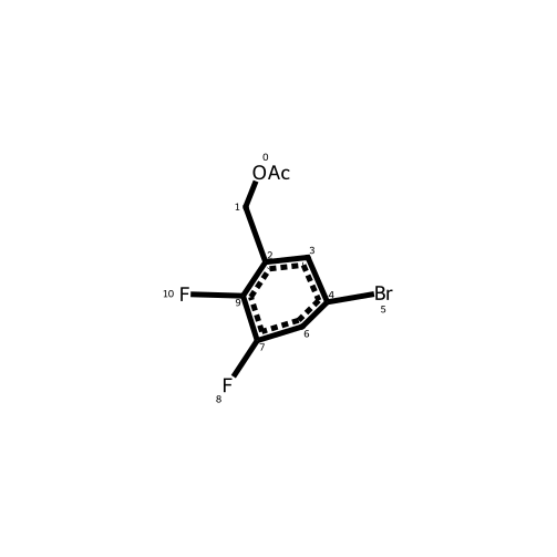 CC(=O)OCc1cc(Br)cc(F)c1F